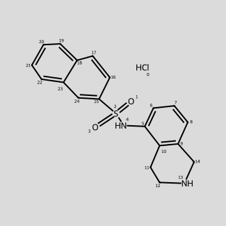 Cl.O=S(=O)(Nc1cccc2c1CCNC2)c1ccc2ccccc2c1